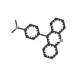 CN(C)c1ccc(-c2c3ccccc3nc3ccccc23)cc1